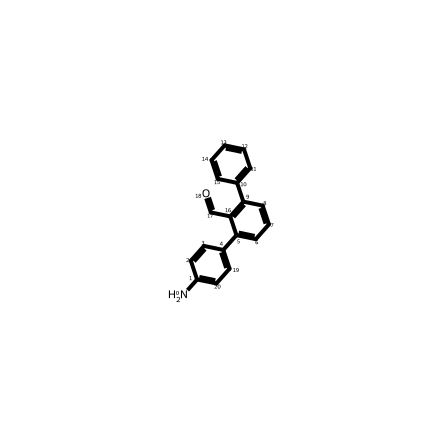 Nc1ccc(-c2cccc(-c3ccccc3)c2C=O)cc1